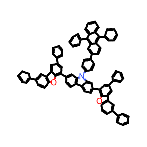 C1=CCCC(c2ccc3oc4c(-c5ccc6c7ccc(-c8cc(-c9ccccc9)cc9c8oc8ccc(-c%10ccccc%10)cc89)cc7n(-c7ccc(-c8ccc9c(-c%10ccccc%10)c%10ccccc%10c(-c%10ccccc%10)c9c8)cc7)c6c5)cc(-c5ccccc5)cc4c3c2)=C1